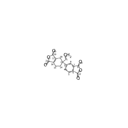 C=CC1(c2ccc3c(c2)C(=O)OC3=O)CCC2=C(C1)C(=O)OC2=O